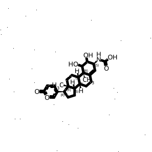 C[C@@]12CC[C@H]3[C@H](CCC4=C[C@H](NC(=O)O)C(O)C(O)[C@@]43C)[C@@H]1CC[C@H]2c1ccc(=O)oc1